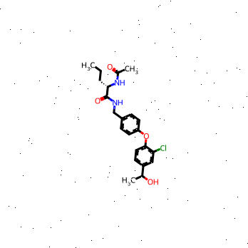 CCC[C@H](NC(C)=O)C(=O)NCc1ccc(Oc2ccc(C(C)O)cc2Cl)cc1